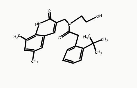 Cc1cc(C)c2[nH]c(=O)c(CN(CCO)C(=O)Cc3ccccc3C(C)(C)C)cc2c1